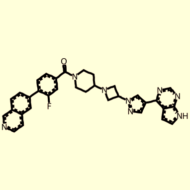 O=C(c1ccc(-c2ccc3cnccc3c2)c(F)c1)N1CCC(N2C[C](n3cc(-c4ncnc5[nH]ccc45)cn3)C2)CC1